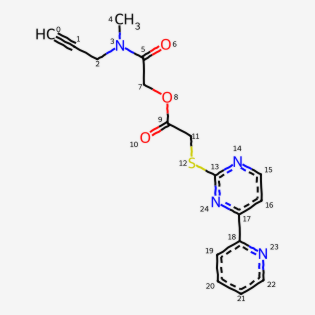 C#CCN(C)C(=O)COC(=O)CSc1nccc(-c2ccccn2)n1